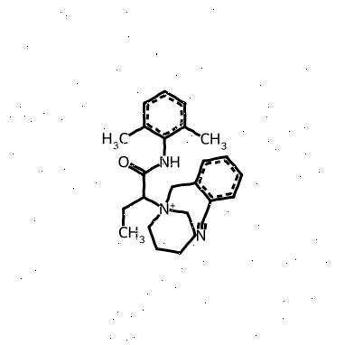 CCC(C(=O)Nc1c(C)cccc1C)[N+]1(Cc2ccccc2C#N)CCCCC1